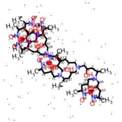 CC(CC(O)CN(CCCCCCN(CC(O)CC(C)N(CC(O)CC(C)[N+](=O)[O-])CC(O)CC(C)[N+](=O)[O-])CC(O)CC(C)N(CC(O)CC(C)[N+](=O)[O-])CC(O)CC(C)[N+](=O)[O-])CC(O)CC(C)N(CC(O)CC(C)[N+](=O)[O-])CC(O)CC(C)[N+](=O)[O-])N(CC(O)CC(C)[N+](=O)[O-])CC(O)CC(C)[N+](=O)[O-]